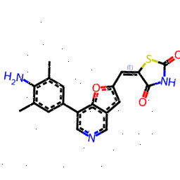 Cc1cc(-c2cncc3cc(/C=C4/SC(=O)NC4=O)oc23)cc(C)c1N